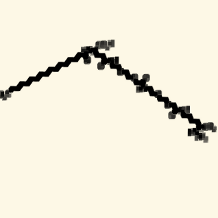 O=C(O)CCCCCCCCCCCCCCCC(=O)N[C@@H](CCC(=O)NCCOCCOCC(=O)NCCOCCOCC(=O)NCCCC[C@H](NP)C(=O)O)C(=O)O